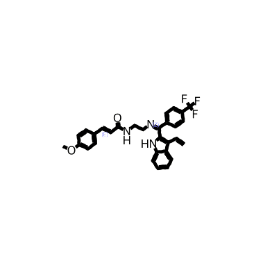 C=Cc1c(/C(=N\CCNC(=O)/C=C/c2ccc(OC)cc2)c2ccc(C(F)(F)F)cc2)[nH]c2ccccc12